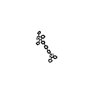 C1=CCC(c2nc(-c3ccc(-c4ccc(-c5ccc(C6c7ccccc7C7C(c8ccccc8)C=NN7C6c6ccccc6)cc5)cc4)cc3)nc3ccccc23)C=C1